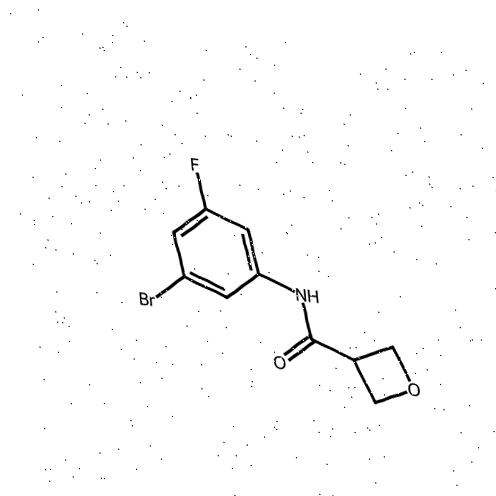 O=C(Nc1cc(F)cc(Br)c1)C1COC1